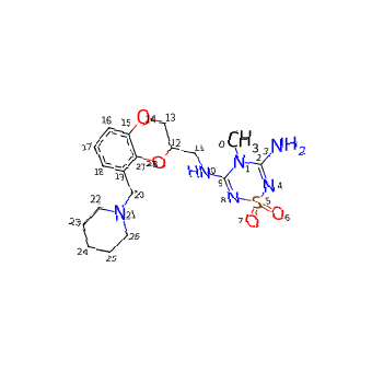 CN1C(N)=NS(=O)(=O)N=C1NCC1COc2cccc(CN3CCCCC3)c2O1